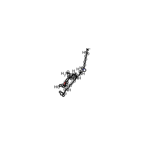 CC(C)[C@H](NC(=O)[C@@H](CCCCNC(=O)COC1CCCCC/C(NCCOCCOCCOCCOCCC(=O)NCC[N+](C)(C)C)=C\1N)NC(=O)CCOCCOCCOCCOCCNC(=O)CCC(=O)N1Cc2ccccc2C#Cc2ccccc21)C(=O)N[C@@H](CCCNC(N)=O)C(=O)N[C@@H](CO)C(=O)Nc1ccc2c(c1)[C@@]1(C)CCC[C@](C)(C(=O)NC(=O)[C@@]3(C)CCC[C@]4(C)c5cc(O)ccc5CC[C@@H]34)[C@@H]1CC2